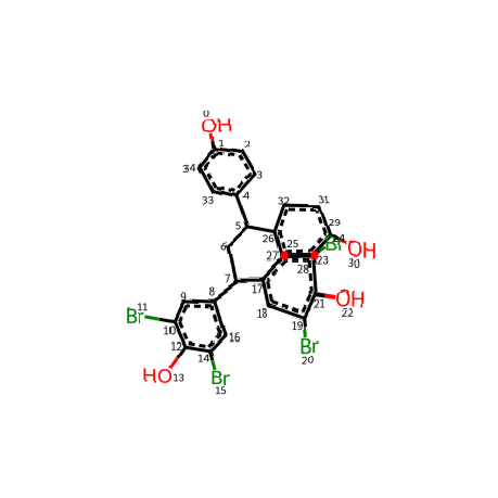 Oc1ccc(C(CC(c2cc(Br)c(O)c(Br)c2)c2cc(Br)c(O)c(Br)c2)c2ccc(O)cc2)cc1